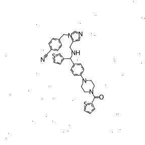 N#Cc1ccc(Cn2cncc2CNC(c2ccc(N3CCN(C(=O)c4cccs4)CC3)cc2)c2ccsc2)cc1